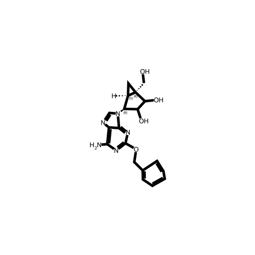 Nc1nc(OCc2ccccc2)nc2c1ncn2[C@H]1C(O)C(O)[C@]2(CO)C[C@H]12